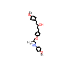 CCOc1ccc(CCC(O)CCc2ccc(OCC(C)CNc3ccc(OCC)cc3)cc2)cc1